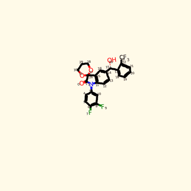 O=C1N(c2ccc(F)c(F)c2)c2ccc([C@H](O)c3ccccc3C(F)(F)F)cc2C12OCCCO2